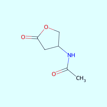 CC(=O)NC1COC(=O)C1